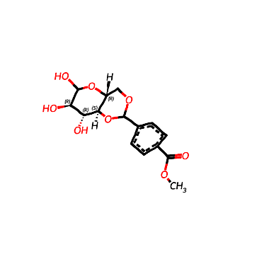 COC(=O)c1ccc(C2OC[C@H]3OC(O)[C@H](O)[C@@H](O)[C@@H]3O2)cc1